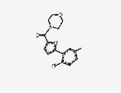 Cc1ccc(Cl)c(-c2ccc(C(=O)N3CCOCC3)o2)c1